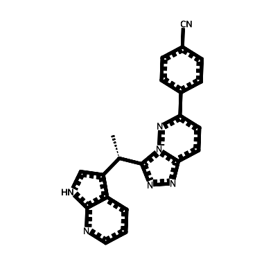 C[C@@H](c1c[nH]c2ncccc12)c1nnc2ccc(-c3ccc(C#N)cc3)nn12